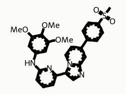 COc1cc(Nc2cccc(-c3cnc4cc(-c5ccc(S(C)(=O)=O)cc5)ccn34)n2)cc(OC)c1OC